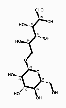 O=C[C@@H](O)[C@@H](O)[C@H](O)[C@H](O)CO[C@H]1O[C@H](CO)[C@@H](O)[C@H](O)[C@@H]1O